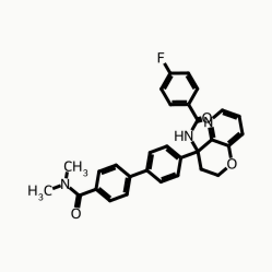 CN(C)C(=O)c1ccc(-c2ccc(C3(NC(=O)c4ccc(F)cc4)CCOc4cccnc43)cc2)cc1